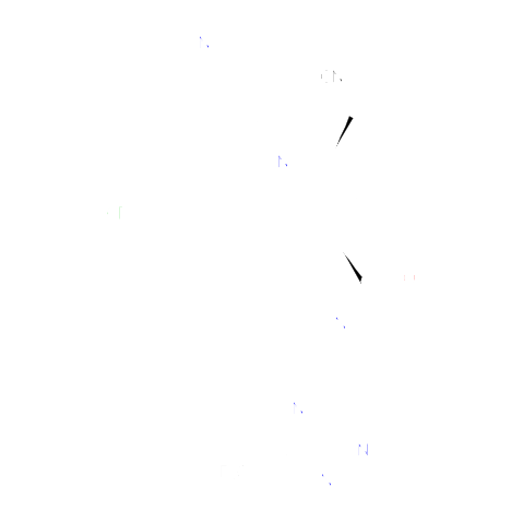 C[C@H]1C[C@@H](C(=O)N2CCn3c(nnc3C(F)(F)F)C2)CCN1c1c(C#N)cnc2ccc(Cl)cc12